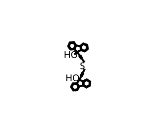 OC1(C#CCSCC#CC2(O)c3ccccc3-c3ccccc32)c2ccccc2-c2ccccc21